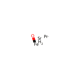 [O]=[Fe].[Pr].[SrH2]